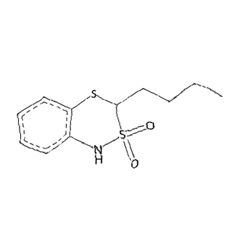 CCCCC1Sc2ccccc2NS1(=O)=O